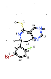 CSC1=NC(C)(c2cc(Br)ccc2F)Cc2ncncc21